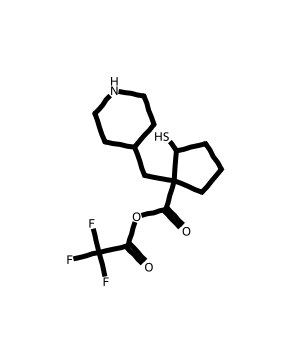 O=C(OC(=O)C1(CC2CCNCC2)CCCC1S)C(F)(F)F